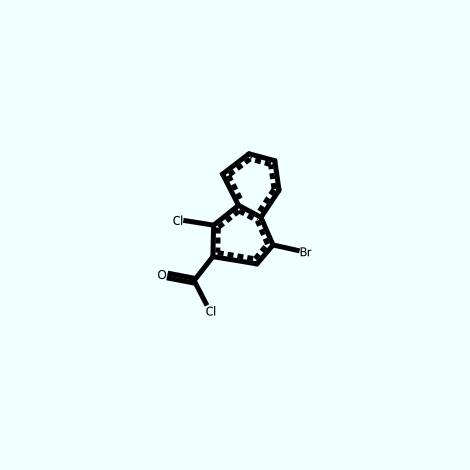 O=C(Cl)c1cc(Br)c2ccccc2c1Cl